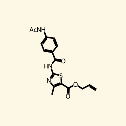 C=CCOC(=O)c1sc(NC(=O)c2ccc(NC(C)=O)cc2)nc1C